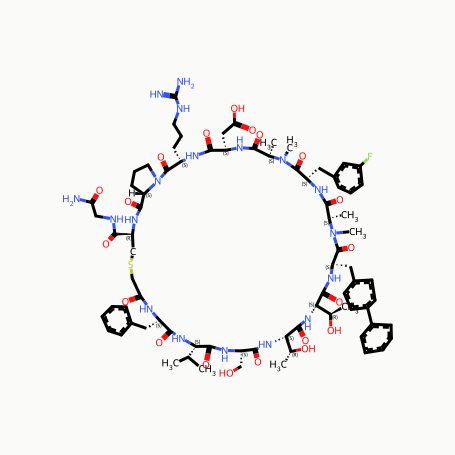 CC(C)[C@@H]1NC(=O)[C@H](Cc2ccccc2)NC(=O)CSC[C@@H](C(=O)NCC(N)=O)NC(=O)[C@@H]2CCCN2C(=O)[C@H](CCCNC(=N)N)NC(=O)[C@H](CC(=O)O)NC(=O)[C@H](C)N(C)C(=O)[C@H](Cc2cccc(F)c2)NC(=O)[C@H](C)N(C)C(=O)[C@H](Cc2ccc(-c3ccccc3)cc2)NC(=O)[C@H]([C@@H](C)O)NC(=O)[C@H]([C@@H](C)O)NC(=O)[C@H](CO)NC1=O